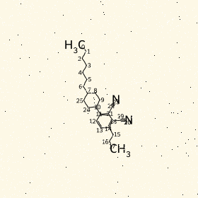 CCCCCCCC1CCC(c2ccc(CCC)c(C#N)c2C#N)CC1